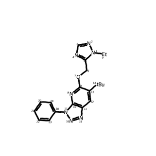 CCn1ncnc1COc1nc2c(cc1C(C)(C)C)nnn2-c1ccccc1